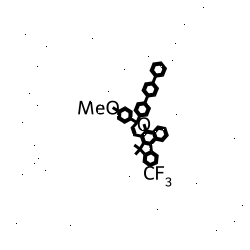 COc1ccc(C2(c3ccc(-c4ccc(-c5ccccc5)cc4)cc3)C=Cc3c4c(c5ccccc5c3O2)-c2ccc(C(F)(F)F)cc2C4(C)C)cc1